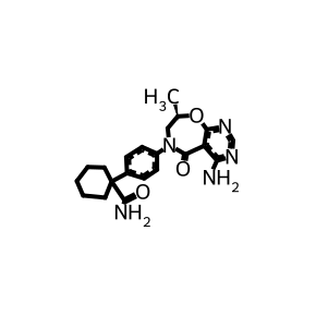 C[C@@H]1CN(c2ccc(C3(C(N)=O)CCCCC3)cc2)C(=O)c2c(N)ncnc2O1